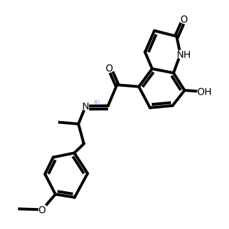 COc1ccc(CC(C)/N=C/C(=O)c2ccc(O)c3[nH]c(=O)ccc23)cc1